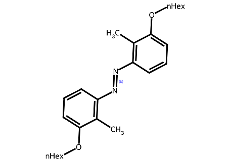 CCCCCCOc1cccc(/N=N/c2cccc(OCCCCCC)c2C)c1C